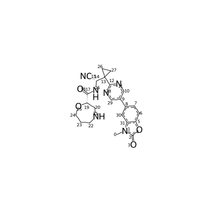 Cn1c(=O)oc2ccc(-c3cnc(C4([C@@H](C#N)NC(=O)[C@@H]5CNCCCO5)CC4)nc3)cc21